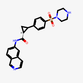 O=C(Nc1ccc2cnccc2c1)[C@@H]1CC1c1ccc(S(=O)(=O)N2CCNCC2)cc1